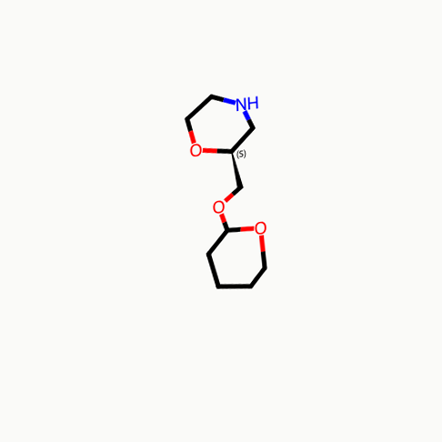 C1CCC(OC[C@@H]2CNCCO2)OC1